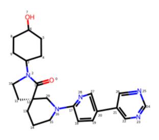 O=C1N(C2CCC(O)CC2)CC[C@]12CCCN(c1ccc(-c3cncnc3)cn1)C2